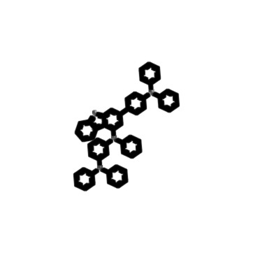 c1ccc(N(c2ccccc2)c2ccc(-c3cc(N(c4ccccc4)c4cccc(N(c5ccccc5)c5ccccc5)c4)c4c(c3)sc3ccccc34)cc2)cc1